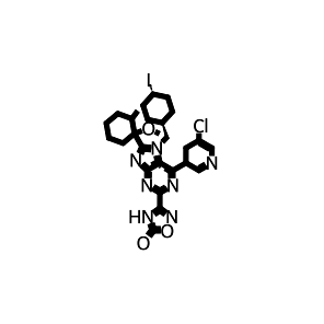 COC1(c2nc3nc(-c4noc(=O)[nH]4)nc(C4C=NC=C(Cl)C4)c3n2C[C@H]2CC[C@H](I)CC2)CCCCC1C